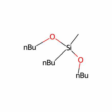 CCCCO[Si](C)(CCCC)OCCCC